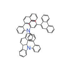 C1=CC2c3ccccc3N(c3ccccc3-c3ccc(N(c4cccc(-c5cc6ccccc6c6ccccc56)c4)c4ccccc4-c4ccc5ccccc5c4)cc3)C2c2ccccc21